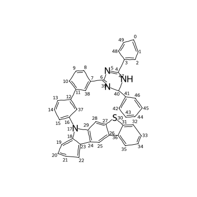 c1ccc(C2=NC(c3cccc(-c4cccc(-n5c6ccccc6c6cc7c(cc65)sc5ccccc57)c4)c3)=NC(c3ccccc3)N2)cc1